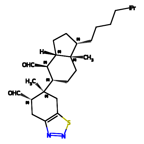 CC(C)CCCC[C@H]1CC[C@H]2[C@H](C=O)[C@@H]([C@@]3(C)Cc4snnc4C[C@@H]3C=O)CC[C@]12C